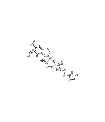 CCc1c(-c2ccc(OC)c(OC)c2)[nH]c2ccc(C(=O)NCCN3CCCC3)cc12